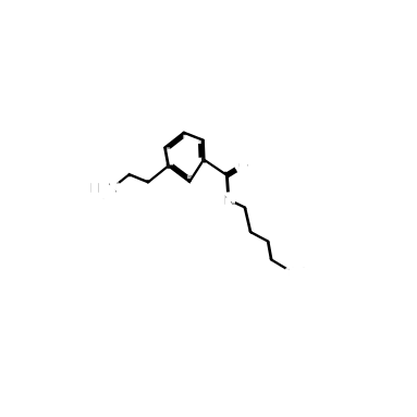 NCCc1cccc(C(=O)NCCCCC(=O)O)c1